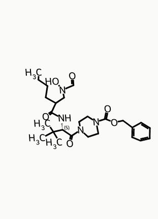 CCCCC(CN(O)C=O)C(=O)N[C@H](C(=O)N1CCN(C(=O)OCc2ccccc2)CC1)C(C)(C)C